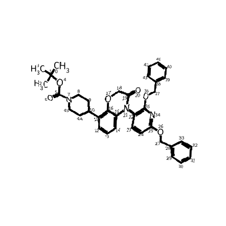 CC(C)(C)OC(=O)N1CCC(c2cccc3c2OCC(=O)N3c2ccc(OCc3ccccc3)nc2OCc2ccccc2)CC1